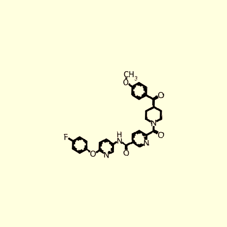 COc1ccc(C(=O)C2CCN(C(=O)c3ccc(C(=O)Nc4ccc(Oc5ccc(F)cc5)nc4)cn3)CC2)cc1